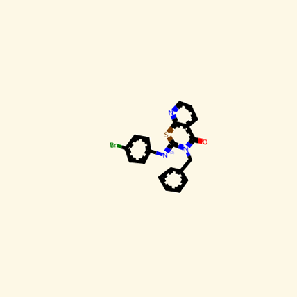 O=c1c2cccnc2s/c(=N\c2ccc(Br)cc2)n1Cc1ccccc1